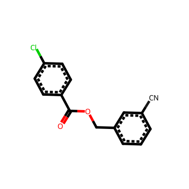 N#Cc1cccc(COC(=O)c2ccc(Cl)cc2)c1